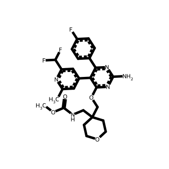 COC(=O)NCC1(COc2nc(N)nc(-c3ccc(F)cc3)c2-c2cc(C)nc(C(F)F)c2)CCOCC1